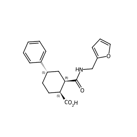 O=C(O)[C@H]1CC[C@H](c2ccccc2)C[C@H]1C(=O)NCc1ccco1